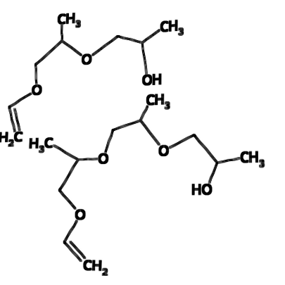 C=COCC(C)OCC(C)O.C=COCC(C)OCC(C)OCC(C)O